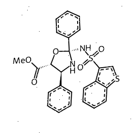 COC(=O)[C@@H]1O[C@@](NS(=O)(=O)c2csc3ccccc23)(c2ccccc2)N[C@H]1c1ccccc1